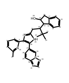 Cc1cccc(-c2nc(CC(C3c4ccccc4CC3O)C(C)(C)C)[nH]c2-c2ccc3ncnn3c2)n1